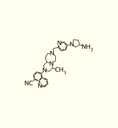 CC1CN(c2ccc(C#N)c3ncccc23)CC2CCN(Cc3ccc(N4CCC(N)C4)cn3)CCN12